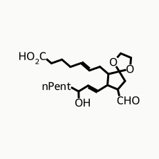 CCCCCC(O)C=CC1C(C=O)CC2(OCCO2)C1CC=CCCCC(=O)O